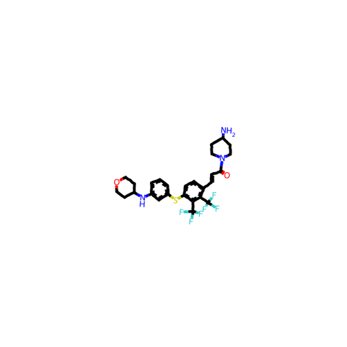 NC1CCN(C(=O)/C=C/c2ccc(Sc3cccc(NC4CCOCC4)c3)c(C(F)(F)F)c2C(F)(F)F)CC1